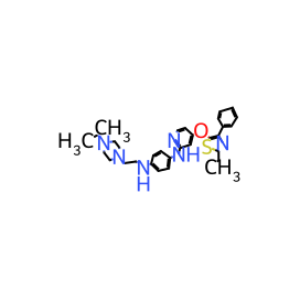 CCc1nc(-c2ccccc2)c(Oc2ccnc(Nc3ccc(NCCN4CCN(C(C)C)CC4)cc3)c2)s1